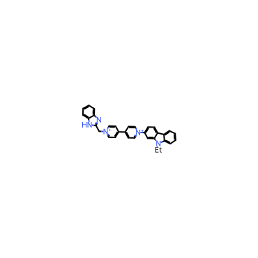 CCn1c2ccccc2c2ccc(-[n+]3ccc(-c4cc[n+](Cc5nc6ccccc6[nH]5)cc4)cc3)cc21